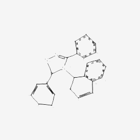 C1=CC(C2NN=C(c3ccccc3)N2C2CC=Cc3ccccc32)=CCC1